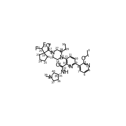 CCOc1ncccc1-c1ccc(N2CCN(C(=O)C3(C(F)F)CCCC3)C[C@H]2CC)c(C(=O)N[C@@H]2CCN(C)C2)n1